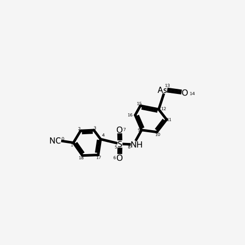 N#Cc1ccc(S(=O)(=O)Nc2ccc([As]=O)cc2)cc1